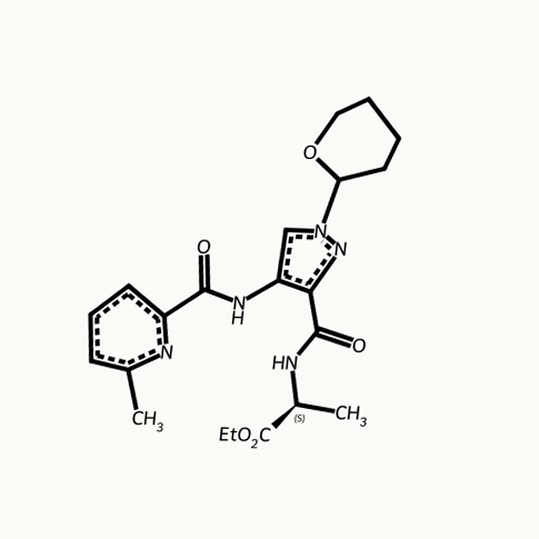 CCOC(=O)[C@H](C)NC(=O)c1nn(C2CCCCO2)cc1NC(=O)c1cccc(C)n1